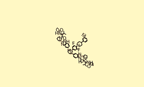 COC(=O)N[C@H](C(=O)N1CCC[C@H]1c1nc2cc([C@H]3CC[C@H](c4ccc5[nH]c([C@@H]6CCCN6C(=O)[C@@H](NC(=O)OC)C(C)C)nc5c4)N3c3cc(F)c(N4CCC(c5cccc([Si](C)(C)C)c5)CC4)c(F)c3)ccc2[nH]1)C(C)C